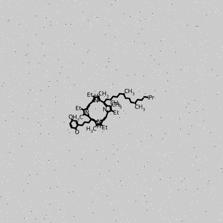 CCC1=C(C)c2nc1cc1[nH]c(c(C)c1CC)c(CCCC1=CC(=O)C=CC1=O)c1nc(cc3[nH]c(c(C)c3CC)c2CC(C)CCCC(C)CCCC(C)CCCC(C)C)C(CC)C1C